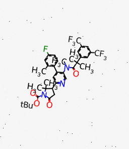 Cc1cc(F)ccc1-c1cc(C2CC(=O)N(C(=O)OC(C)(C)C)C2(C)C)ncc1N(C)C(=O)C(C)(C)c1cc(C(F)(F)F)cc(C(F)(F)F)c1